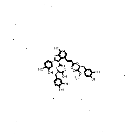 COC(=O)[C@@H](Cc1ccc(O)c(O)c1)OC(=O)/C=C/c1ccc(O)c2c1[C@@H](C(=O)O[C@H](Cc1ccc(O)c(O)c1)C(=O)O)[C@H](c1ccc(O)c(O)c1)O2